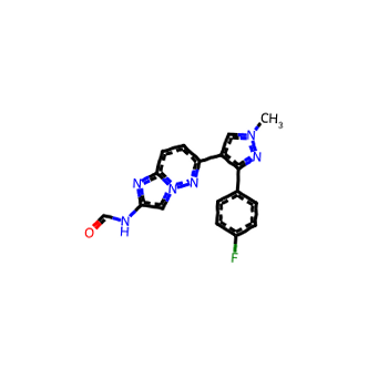 Cn1cc(-c2ccc3nc(NC=O)cn3n2)c(-c2ccc(F)cc2)n1